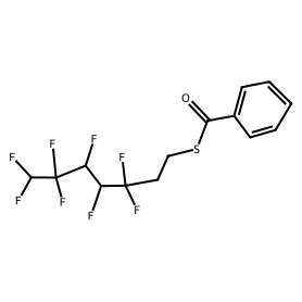 O=C(SCCC(F)(F)C(F)C(F)C(F)(F)C(F)F)c1ccccc1